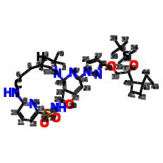 CC1(C)C[C@@H]2CCCNc3cccc(n3)S(=O)(=O)NC(=O)c3ccc(-n4ccc(OCC(O[Si](C)(C)C(C)(C)C)C5CCC56CC6)n4)nc3N1C2